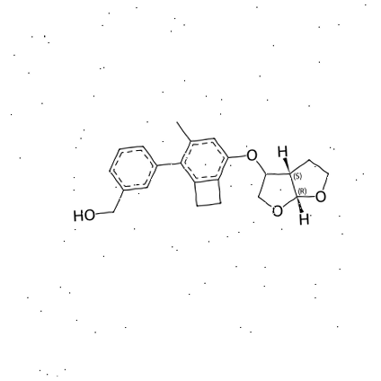 Cc1cc(OC2CO[C@H]3OCC[C@@H]23)c2c(c1-c1cccc(CO)c1)CC2